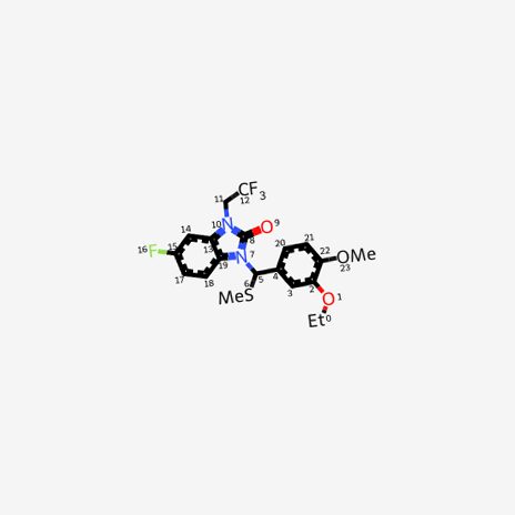 CCOc1cc(C(SC)n2c(=O)n(CC(F)(F)F)c3cc(F)ccc32)ccc1OC